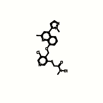 CCN(C)C(=O)CSc1cncc(Cl)c1COc1cccc2c(-c3ccnn3C)cc(C)nc12